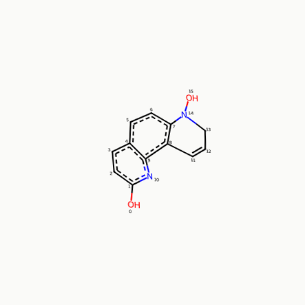 Oc1ccc2ccc3c(c2n1)C=CCN3O